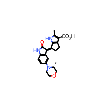 Cc1[nH]c2c(c1C(=O)O)CCC2=C1C(=O)Nc2ccc(N3CCOC[C@H]3C)cc21